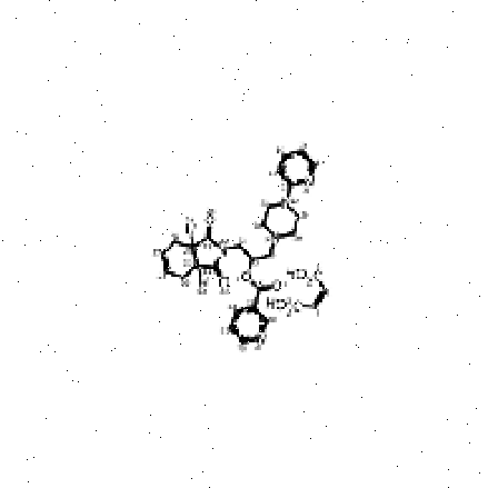 O=C(O)/C=C\C(=O)O.O=C(OC(CN1CCN(c2ccccn2)CC1)CN1C(=O)[C@H]2CC=CC[C@H]2C1=O)c1cccnc1